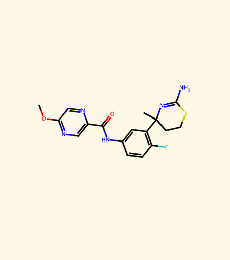 COc1cnc(C(=O)Nc2ccc(F)c(C3(C)CCSC(N)=N3)c2)cn1